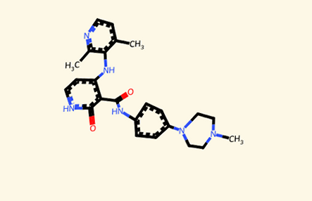 Cc1ccnc(C)c1Nc1cc[nH]c(=O)c1C(=O)Nc1ccc(N2CCN(C)CC2)cc1